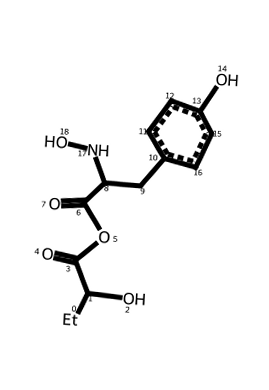 CCC(O)C(=O)OC(=O)C(Cc1ccc(O)cc1)NO